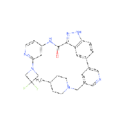 CC1CCN(Cc2cncc(-c3ccc4[nH]nc(C(=O)Nc5ccnc(N6CC(F)(F)C6)c5)c4c3)c2)CC1